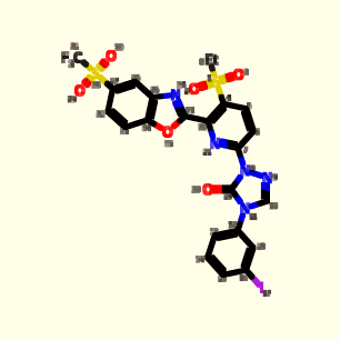 CCS(=O)(=O)c1ccc(-n2ncn(-c3cccc(I)c3)c2=O)nc1-c1nc2cc(S(=O)(=O)C(F)(F)F)ccc2o1